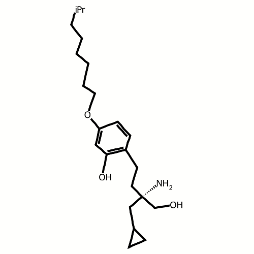 CC(C)CCCCCCOc1ccc(CC[C@@](N)(CO)CC2CC2)c(O)c1